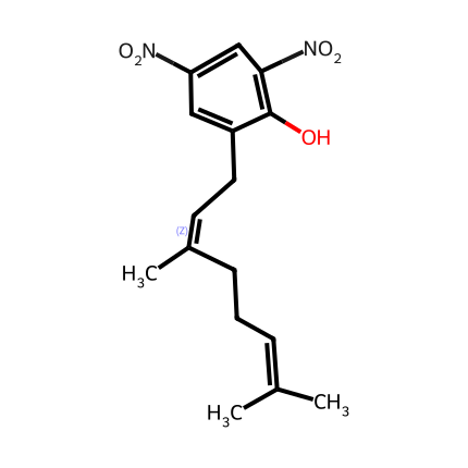 CC(C)=CCC/C(C)=C\Cc1cc([N+](=O)[O-])cc([N+](=O)[O-])c1O